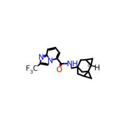 O=C(NCC12CC3C[C@@H]3C3(CC3C1)C2)c1cccc2nc(C(F)(F)F)cn12